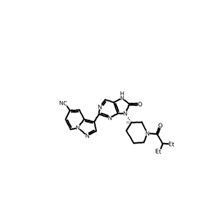 CCC(CC)C(=O)N1CCC[C@H](n2c(=O)[nH]c3cnc(-c4cnn5ccc(C#N)cc45)nc32)C1